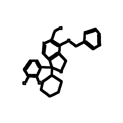 ClCc1ncc2c(c1OCc1ccccc1)COC2(c1cccc(Cl)c1Cl)C1CCCCC1